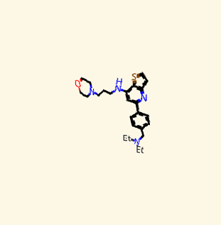 CCN(CC)Cc1ccc(-c2cc(NCCCN3CCOCC3)c3sccc3n2)cc1